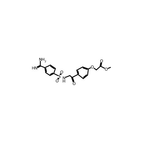 COC(=O)COc1ccc(C(=O)CNS(=O)(=O)c2ccc(C(=N)N)cc2)cc1